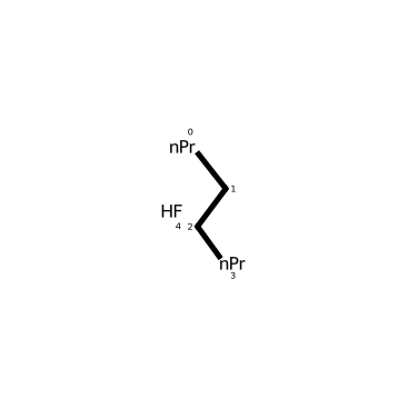 CCCCCCCC.F